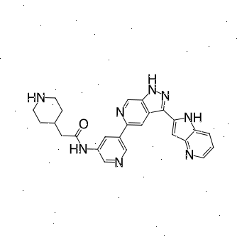 O=C(CC1CCNCC1)Nc1cncc(-c2cc3c(-c4cc5ncccc5[nH]4)n[nH]c3cn2)c1